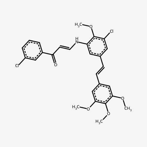 COc1cc(C=Cc2cc(Cl)c(OC)c(NC=CC(=O)c3cccc(Cl)c3)c2)cc(OC)c1OC